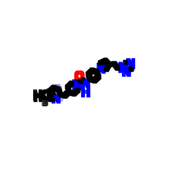 C#C/C=C\C(C=C1CCN(C(=O)Nc2ccc(N3CCC(CCn4cncn4)C3)cc2)CC1)=N/C